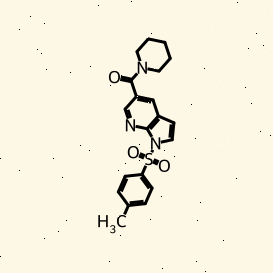 Cc1ccc(S(=O)(=O)n2ccc3cc(C(=O)N4CCCCC4)cnc32)cc1